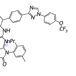 CCCc1ccc(C)cc1N1C(=O)CS/C1=N\C(=O)NCC(C)c1ccc(-c2ncn(-c3ccc(OC(F)(F)F)cc3)n2)cc1